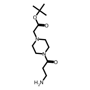 CC(C)(C)OC(=O)CN1CCN(C(=O)CCN)CC1